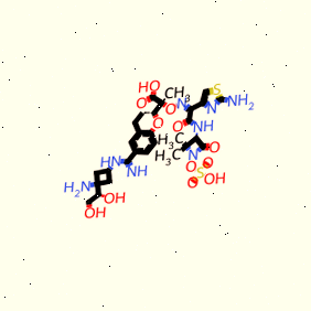 CC1(C)[C@H](NC(=O)/C(=N\O[C@](C)(C(=O)O)[C@H]2CCc3cc(C(=N)NC4CC(N)([C@@H](O)CO)C4)ccc3O2)c2csc(N)n2)C(=O)N1OS(=O)(=O)O